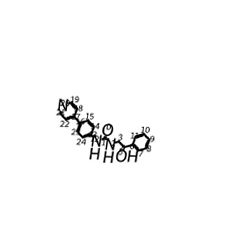 O=C(NC[C@@H](O)c1ccccc1)Nc1ccc(-c2ccncc2)cc1